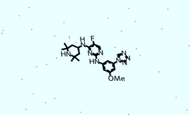 COc1cc(Nc2ncc(F)c(NC3CC(C)(C)NC(C)(C)C3)n2)cc(-n2cnnn2)c1